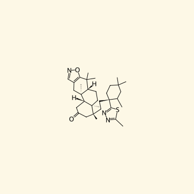 Cc1nnc([C@]2(CC[C@]3(C)CC(=O)C[C@@H]4[C@@]5(C)Cc6cnoc6C(C)(C)[C@@H]5CC[C@]43C)CCC(C)(C)CC2C)s1